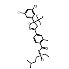 CCS(=O)(CCC(C)C)=NC(=O)c1ccc(C2=NOC(c3cc(Cl)cc(Cl)c3)(C(F)(F)F)C2)cc1C